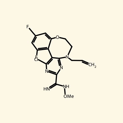 C=CCN1CCOc2cc(F)cc(F)c2-c2c(Cl)nc(C(=N)NOC)nc21